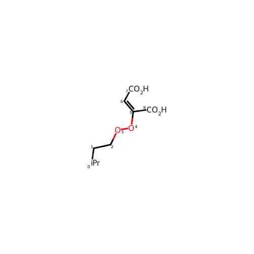 CC(C)CCOOC(=CC(=O)O)C(=O)O